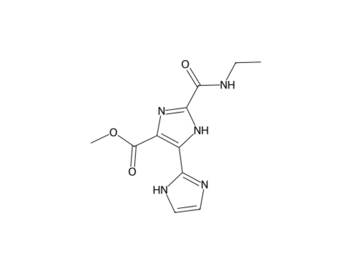 CCNC(=O)c1nc(C(=O)OC)c(-c2ncc[nH]2)[nH]1